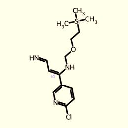 C[Si](C)(C)CCOCN/C(=C\C=N)c1ccc(Cl)nc1